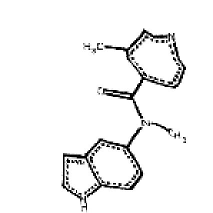 Cc1cnccc1C(=O)N(C)c1ccc2[nH]ccc2c1